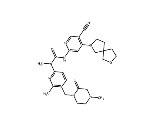 Cc1nc(N(C)C(=O)Nc2cc(N3CCC4(CCOC4)C3)c(C#N)cn2)ccc1CN1CCN(C)CC1=O